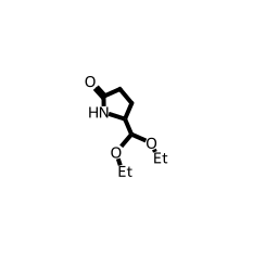 CCOC(OCC)C1CCC(=O)N1